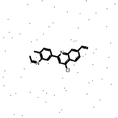 C=Cc1ccc2c(Cl)cc(-c3ccc(C)c(/N=C\C)c3)nc2c1